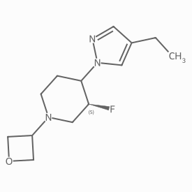 CCc1cnn(C2CCN(C3COC3)C[C@@H]2F)c1